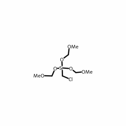 COCO[Si](CCl)(OCOC)OCOC